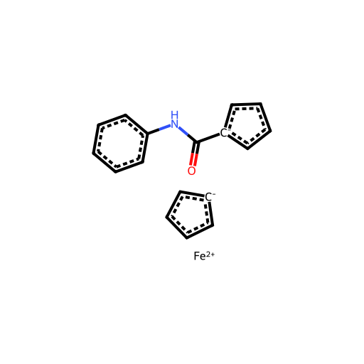 O=C(Nc1ccccc1)[c-]1cccc1.[Fe+2].c1cc[cH-]c1